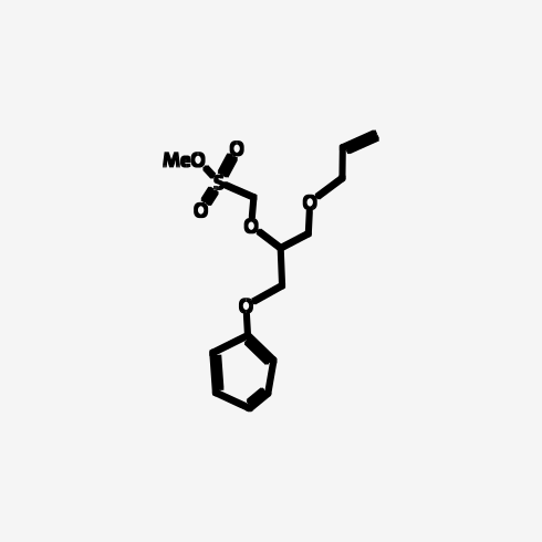 C=CCOCC(COc1ccccc1)OCS(=O)(=O)OC